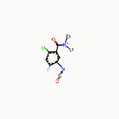 CC[N+](CC)C(=O)c1cc(N=C=O)c(F)cc1Cl